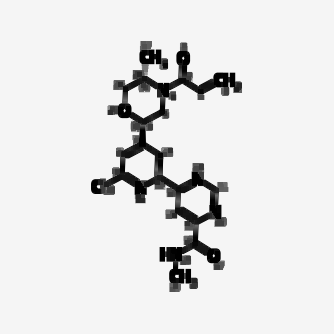 C=CC(=O)N1C[C@@H](c2cc(Cl)nc(-c3cc(C(=O)NC)ncn3)c2)OC[C@@H]1C